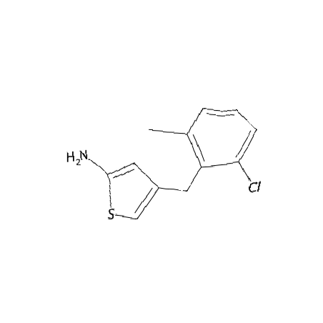 Cc1cccc(Cl)c1Cc1csc(N)c1